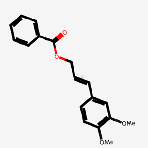 COc1ccc(/C=C/COC(=O)c2ccccc2)cc1OC